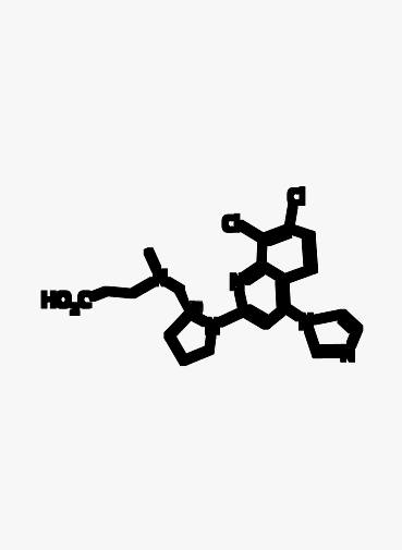 CN(CCC(=O)O)C[C@@H]1CCCN1c1cc(-n2ccnc2)c2ccc(Cl)c(Cl)c2n1